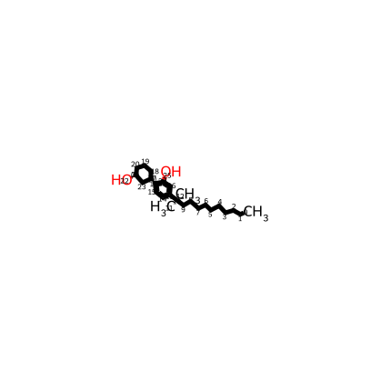 CCCCCCCCCCC(C)(C)c1ccc([C@@H]2CCC[C@@H](O)C2)c(O)c1